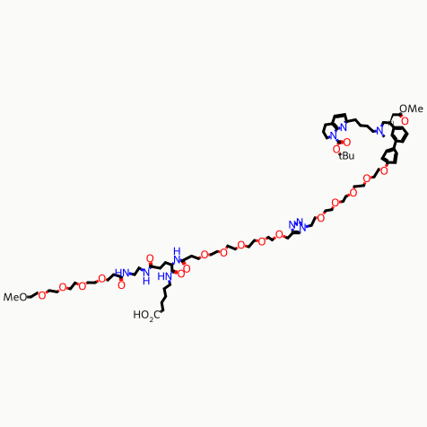 COCCOCCOCCOCCOCCC(=O)NCCNC(=O)CCC(NC(=O)CCOCCOCCOCCOCCOCc1cn(CCOCCOCCOCCOCCOc2ccc(-c3cccc([C@H](CC(=O)OC)CN(C)CCCCc4ccc5c(n4)N(C(=O)OC(C)(C)C)CCC5)c3)cc2)nn1)C(=O)NCCCCCC(=O)O